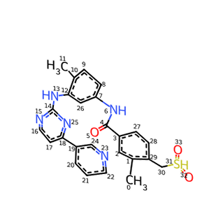 Cc1cc(C(=O)Nc2ccc(C)c(Nc3nccc(-c4cccnc4)n3)c2)ccc1C[SH](=O)=O